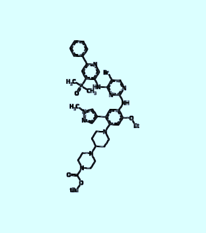 CCOc1cc(N2CCC(N3CCN(C(=O)OC(C)(C)C)CC3)CC2)c(-c2cnn(C)c2)cc1Nc1ncc(Br)c(Nc2cnc(-c3ccccc3)cc2P(C)(C)=O)n1